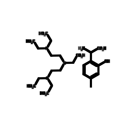 Cc1ccc(C(N)C(=O)O)c(O)c1.O=C(O)CN(CCN(CC(=O)O)CC(=O)O)CCN(CC(=O)O)CC(=O)O